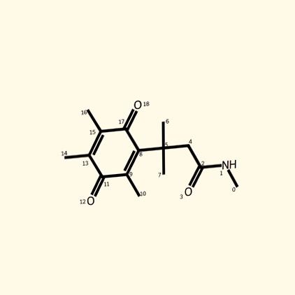 CNC(=O)CC(C)(C)C1=C(C)C(=O)C(C)=C(C)C1=O